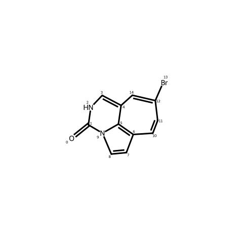 O=c1[nH]cc2c3c(ccn13)C=CC(Br)=C2